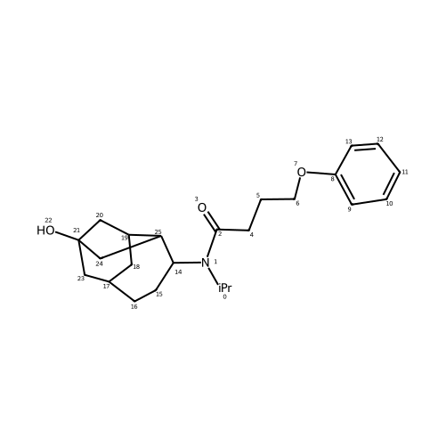 CC(C)N(C(=O)CCCOc1ccccc1)C1CCC2CC3CC(O)(C2)CC31